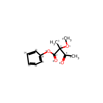 COC(C)(C(C)=O)C(=O)Oc1ccccc1